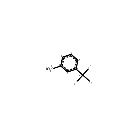 O=S(=O)(O)c1cccc(C(I)(I)I)c1